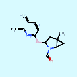 C=C/C=C\C(BC1CC2(C)CC2N1C=O)=N/C=C